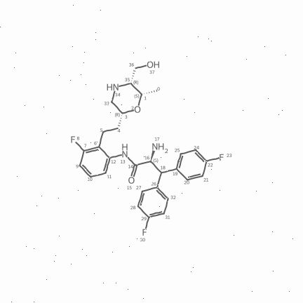 C[C@@H]1O[C@H](CCc2c(F)cccc2NC(=O)[C@@H](N)C(c2ccc(F)cc2)c2ccc(F)cc2)CN[C@@H]1CO